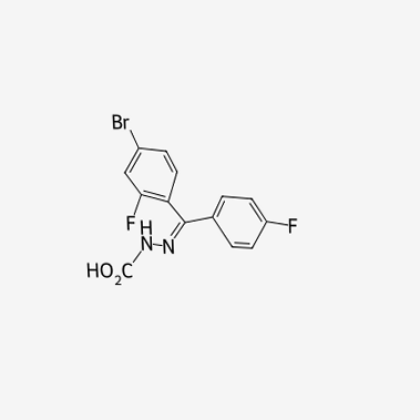 O=C(O)NN=C(c1ccc(F)cc1)c1ccc(Br)cc1F